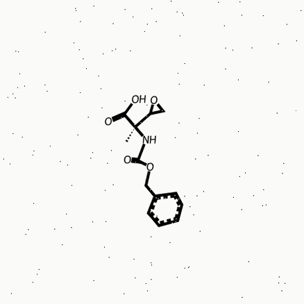 C[C@](NC(=O)OCc1ccccc1)(C(=O)O)C1CO1